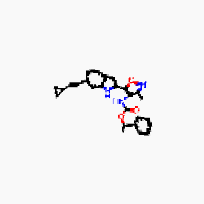 Cc1noc(-c2cc3ccc(C#CC4CC4)cc3[nH]2)c1NC(=O)OC(C)c1ccccc1